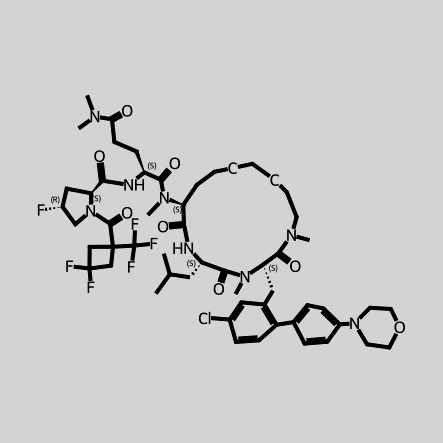 CC(C)C[C@@H]1NC(=O)[C@@H](N(C)C(=O)[C@H](CCC(=O)N(C)C)NC(=O)[C@@H]2C[C@@H](F)CN2C(=O)C2(C(F)(F)F)CC(F)(F)C2)CCCCCCCN(C)C(=O)[C@H](Cc2cc(Cl)ccc2-c2ccc(N3CCOCC3)cc2)N(C)C1=O